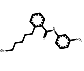 CCCCCCCCCCCCCCCc1ccccc1C(=O)Nc1cccc([N+](=O)[O-])c1